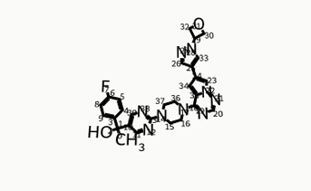 CC(O)(c1ccc(F)cc1)c1cnc(N2CCN(c3ncnn4cc(-c5cnn(C6COC6)c5)cc34)CC2)nc1